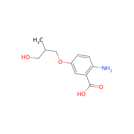 CC(CO)COc1ccc(N)c(C(=O)O)c1